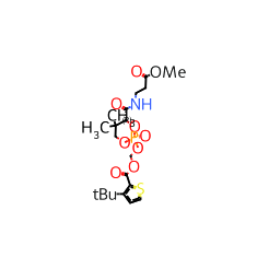 COC(=O)CCNC(=O)[C@@H]1OP(=O)(OCOC(=O)c2sccc2C(C)(C)C)OCC1(C)C